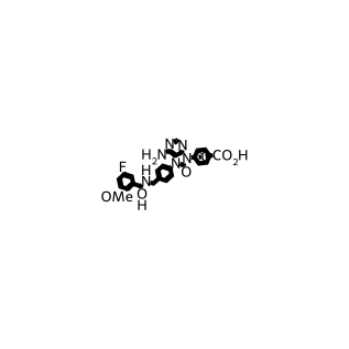 COc1ccc(F)cc1C(O)NCc1ccc(-n2c(=O)n(C34CCC(C(=O)O)(CC3)CC4)c3ncnc(N)c32)cc1